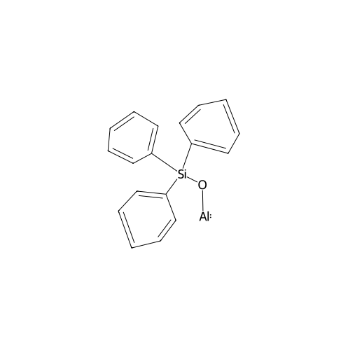 [Al][O][Si](c1ccccc1)(c1ccccc1)c1ccccc1